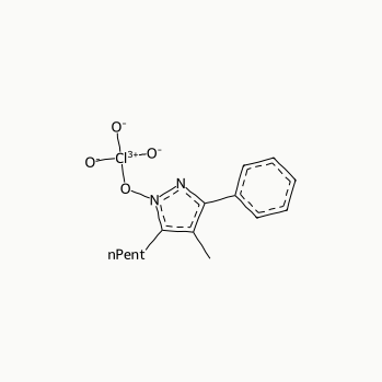 CCCCCc1c(C)c(-c2ccccc2)nn1O[Cl+3]([O-])([O-])[O-]